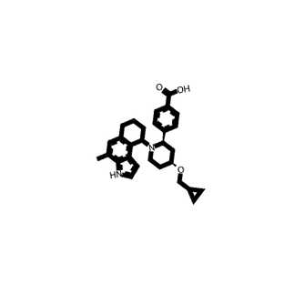 Cc1cc2c(c3cc[nH]c13)C(N1CC[C@@H](OCC3CC3)C[C@@H]1c1ccc(C(=O)O)cc1)CCC2